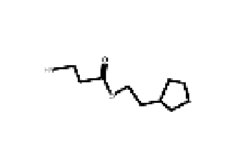 O=C(CCS)OCCC1CCCC1